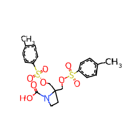 Cc1ccc(S(=O)(=O)OCC2(COS(=O)(=O)c3ccc(C)cc3)CCN2C(=O)O)cc1